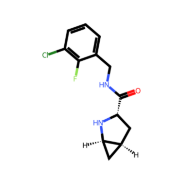 O=C(NCc1cccc(Cl)c1F)[C@@H]1C[C@H]2C[C@H]2N1